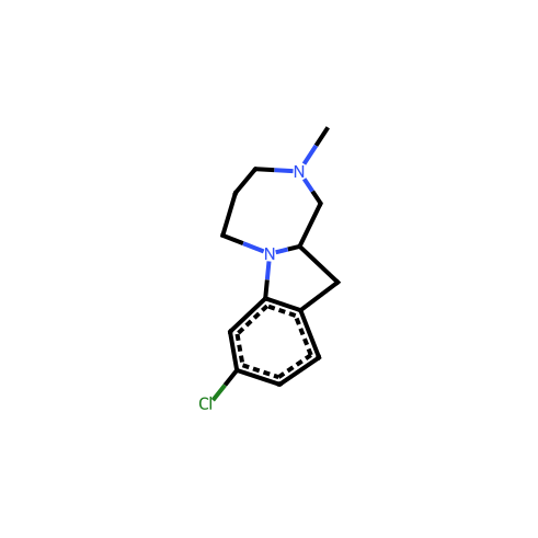 CN1CCCN2c3cc(Cl)ccc3CC2C1